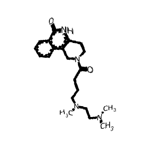 CN(C)CCN(C)CCCC(=O)N1CCc2[nH]c(=O)c3ccccc3c2C1